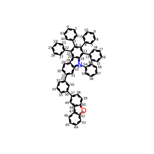 c1ccc(-c2c(-c3ccccc3)c(-c3ccccc3)c3c(c2-c2ccccc2)c2ccc(-c4cccc(-c5ccc6oc7ccccc7c6c5)c4)cc2n3-c2ccccc2)cc1